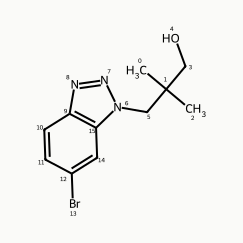 CC(C)(CO)Cn1nnc2ccc(Br)cc21